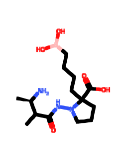 CC(C(=O)NN1CCCC1(CCCCB(O)O)C(=O)O)[C@@H](C)N